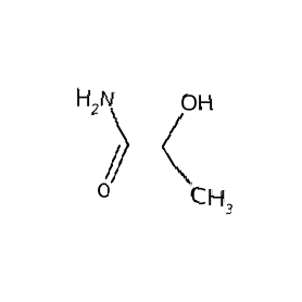 CCO.NC=O